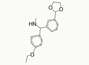 CCOc1ccc(C(NC)c2cccc(C3OCCO3)c2)cc1